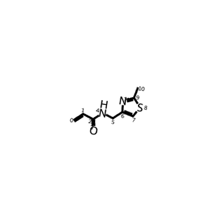 C=CC(=O)NCc1csc(C)n1